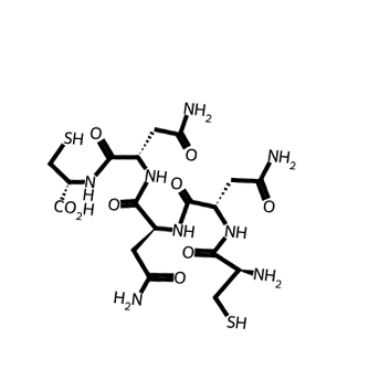 NC(=O)C[C@H](NC(=O)[C@H](CC(N)=O)NC(=O)[C@H](CC(N)=O)NC(=O)[C@@H](N)CS)C(=O)N[C@@H](CS)C(=O)O